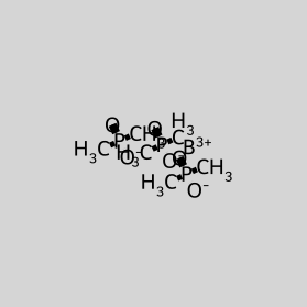 CP(C)(=O)[O-].CP(C)(=O)[O-].CP(C)(=O)[O-].[B+3]